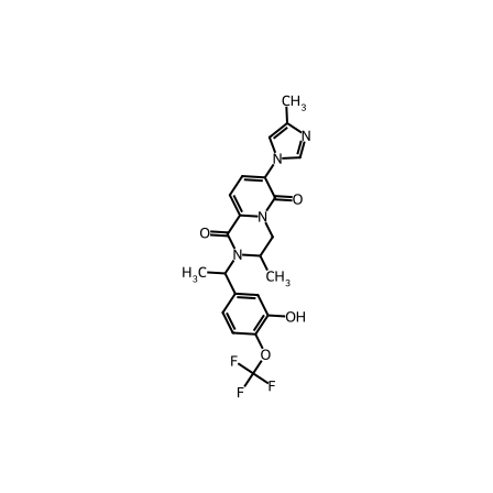 Cc1cn(-c2ccc3n(c2=O)CC(C)N(C(C)c2ccc(OC(F)(F)F)c(O)c2)C3=O)cn1